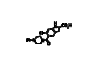 CC(C)N1CCN(C(=O)c2cc3c(cc2Cl)NC(C(=O)O)C3)CC1